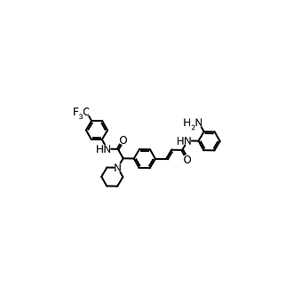 Nc1ccccc1NC(=O)/C=C/c1ccc(C(C(=O)Nc2ccc(C(F)(F)F)cc2)N2CCCCC2)cc1